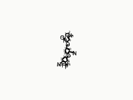 CN1CCn2c1cc(OCc1ccc(Oc3ccc(C#N)c(C(F)(F)F)c3)c(C#N)c1)nc2=O